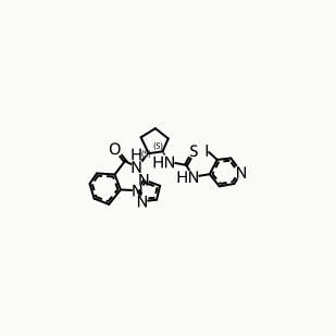 O=C(N[C@H]1CCC[C@@H]1NC(=S)Nc1ccncc1I)c1ccccc1-n1nccn1